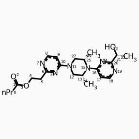 CCCC(=O)OCCc1nccc(N2C[C@@H](C)N(c3ccnc([C@@H](C)O)n3)[C@@H](C)C2)n1